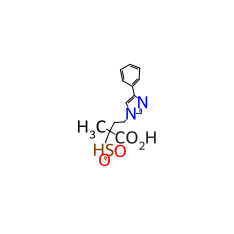 CC(CCn1cnc(-c2ccccc2)c1)(C[SH](=O)=O)C(=O)O